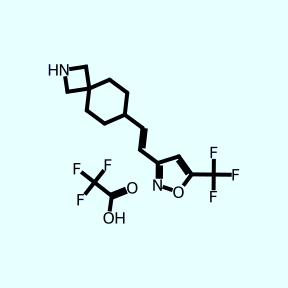 FC(F)(F)c1cc(C=CC2CCC3(CC2)CNC3)no1.O=C(O)C(F)(F)F